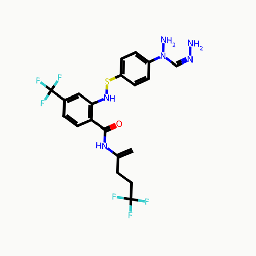 C=C(CCC(F)(F)F)NC(=O)c1ccc(C(F)(F)F)cc1NSc1ccc(N(N)/C=N\N)cc1